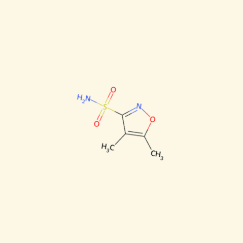 Cc1onc(S(N)(=O)=O)c1C